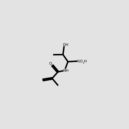 C=C(C)C(=O)NC(C(C)O)S(=O)(=O)O